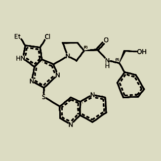 CCc1[nH]c2nc(Sc3cnc4cccnc4c3)nc(N3CC[C@@H](C(=O)N[C@@H](CO)c4ccccc4)C3)c2c1Cl